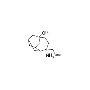 C=CCC1(N)CCC2(O)CC3CC(C2)C1C3